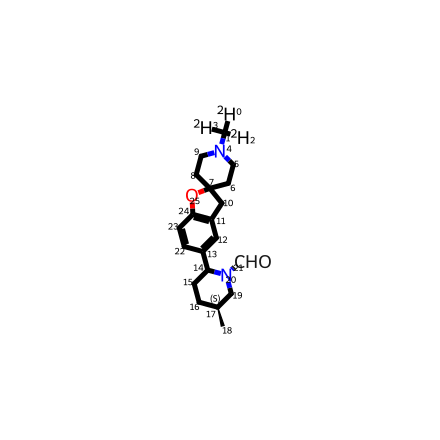 [2H]C([2H])([2H])N1CCC2(CC1)Cc1cc(C3CC[C@H](C)CN3C=O)ccc1O2